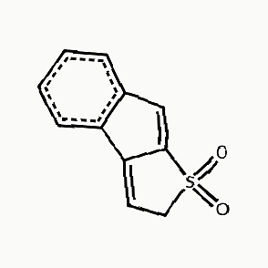 O=S1(=O)CC=C2C1=Cc1ccccc12